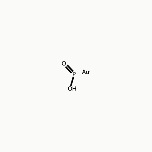 O=PO.[Au]